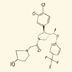 C[C@@H](Oc1ccc(C(F)(F)F)cc1)[C@@H]1CN(C(=O)CN2CCC(O)CC2)C[C@H]1c1ccc(Cl)c(Cl)c1